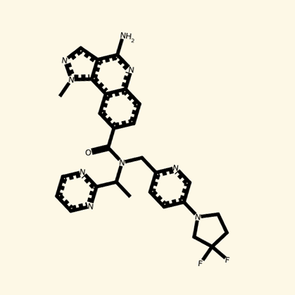 CC(c1ncccn1)N(Cc1ccc(N2CCC(F)(F)C2)cn1)C(=O)c1ccc2nc(N)c3cnn(C)c3c2c1